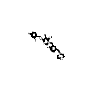 Cc1nc(OCc2ccc(F)cc2F)c(Br)c(=O)n1Cc1cccc(CN2CCOCC2)c1